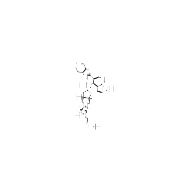 O=S(=O)(NCCO)N1C[C@H]2CC(Nc3c(-c4nc5c(s4)COCC5)cnc4[nH]ccc34)C[C@H]2C1